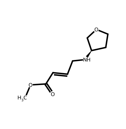 COC(=O)/C=C/CN[C@@H]1CCOC1